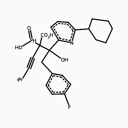 CC(C)C#CC(C(=O)O)([PH](=O)O)C(O)(Cc1ccc(F)cc1)c1cccc(C2CCCCC2)n1